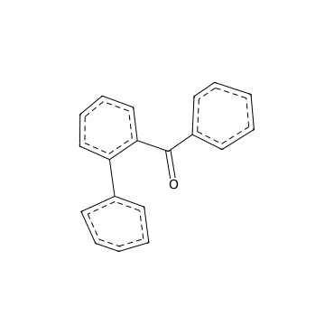 O=C(c1ccccc1)c1ccccc1-c1ccccc1